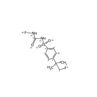 CC(C)(CF)c1ccc(S(=O)(=O)NC(=O)NF)cc1